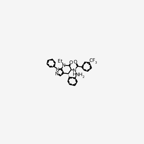 CCN1C(=O)[C@@H](NC(=O)c2cccc(C(F)(F)F)c2)[C@H](c2ccccc2N)c2cnn(-c3ccccc3)c21